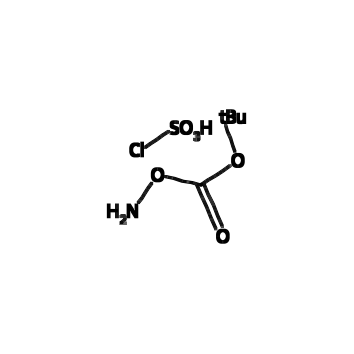 CC(C)(C)OC(=O)ON.O=S(=O)(O)Cl